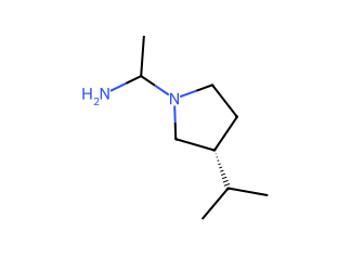 CC(C)[C@H]1CCN(C(C)N)C1